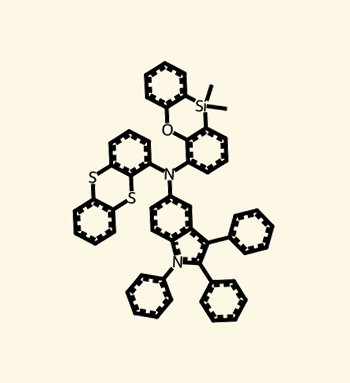 C[Si]1(C)c2ccccc2Oc2c(N(c3ccc4c(c3)c(-c3ccccc3)c(-c3ccccc3)n4-c3ccccc3)c3cccc4c3Sc3ccccc3S4)cccc21